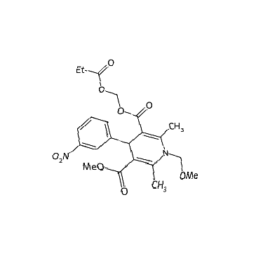 CCC(=O)OCOC(=O)C1=C(C)N(COC)C(C)=C(C(=O)OC)C1c1cccc([N+](=O)[O-])c1